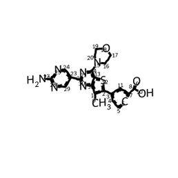 Cc1c(-c2cccc(C(=O)O)c2)sc2c(N3CCOCC3)nc(-c3cnc(N)nc3)nc12